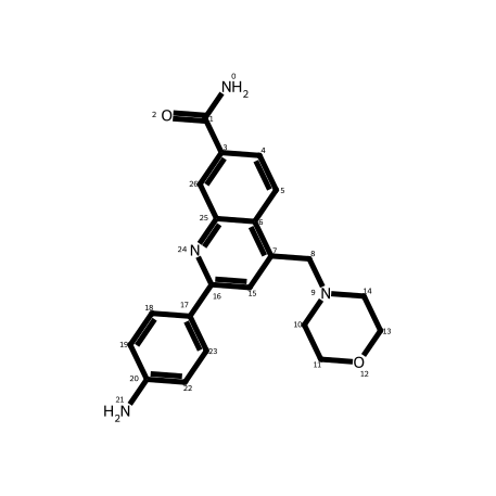 NC(=O)c1ccc2c(CN3CCOCC3)cc(-c3ccc(N)cc3)nc2c1